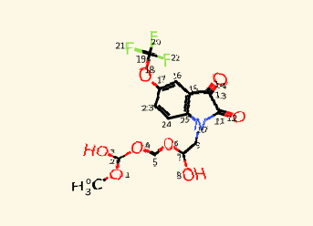 COC(O)OCOC(O)CN1C(=O)C(=O)c2cc(OC(F)(F)F)ccc21